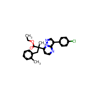 CCOC(=O)C(C)(Cc1ccccc1C)c1ccnc2c(-c3ccc(Cl)cc3)cnn12